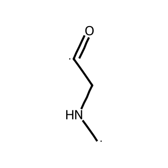 [CH2]NC[C]=O